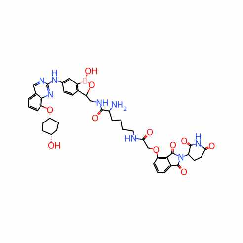 N[C@@H](CCCCNC(=O)COc1cccc2c1C(=O)N(C1CCC(=O)NC1=O)C2=O)C(=O)NCC1OB(O)c2cc(Nc3ncc4cccc(O[C@H]5CC[C@@H](O)CC5)c4n3)ccc21